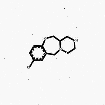 Clc1ccc2c(c1)CN1CCNCC1CO2